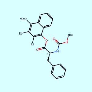 CCc1c(CC)c(OC(=O)[C@H](Cc2ccccc2)NC(=O)OC(C)(C)C)c2ccccc2c1OC